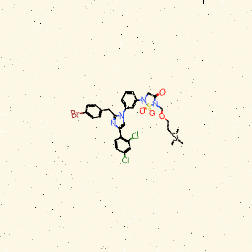 C[Si](C)(C)CCOCN1C(=O)CN(c2cccc(-n3cc(-c4ccc(Cl)cc4Cl)nc3Cc3ccc(Br)cc3)c2)S1(=O)=O